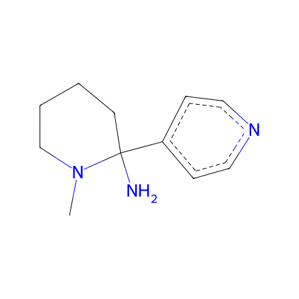 CN1CCCCC1(N)c1ccncc1